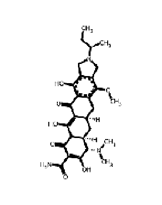 CC[C@@H](C)N1Cc2c(O)c3c(c(OC)c2C1)C[C@H]1C[C@@H]2C(C(=O)C(C(N)=O)=C(O)[C@H]2N(C)C)C(O)=C1C3=O